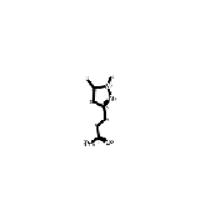 CC(C)C(=O)CCC1=NN(C)C(C)C1